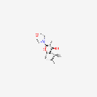 CCc1c(C)ccc2oc(N3CCOCC3)c(C)c(=O)c12